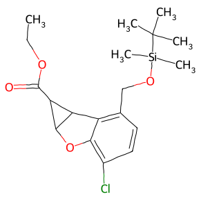 CCOC(=O)C1C2Oc3c(Cl)ccc(CO[Si](C)(C)C(C)(C)C)c3C21